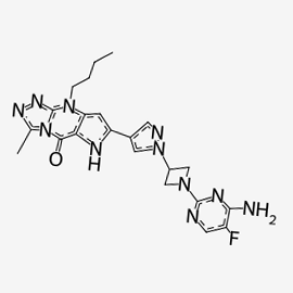 CCCCn1c2cc(-c3cnn(C4CN(c5ncc(F)c(N)n5)C4)c3)[nH]c2c(=O)n2c(C)nnc12